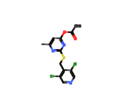 Cc1cc(OC(=O)C=O)nc(SCc2c(Cl)cncc2Cl)n1